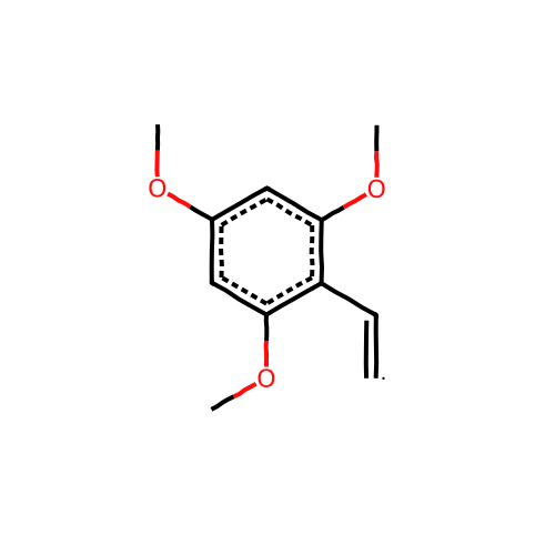 [CH]=Cc1c(OC)cc(OC)cc1OC